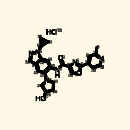 Cc1cc(-c2nc(C(=O)Nc3cc4c(cnn4C4CC4)cc3N3CCC(O)C3)co2)ccn1.Cl